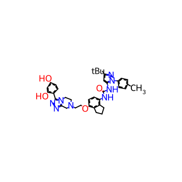 Cc1ccc(-n2nc(C(C)(C)C)cc2NC(=O)Nc2ccc(OCCN3CCn4c(nnc4-c4ccc(O)cc4O)C3)c3c2CCC3)cc1